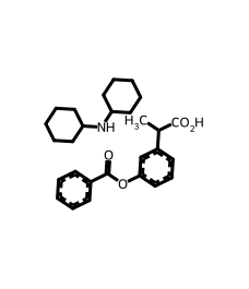 C1CCC(NC2CCCCC2)CC1.CC(C(=O)O)c1cccc(OC(=O)c2ccccc2)c1